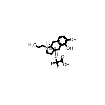 CCCN1CC[C@H]2Cc3c(ccc(O)c3O)C[C@@H]21.O=C(O)C(F)(F)F